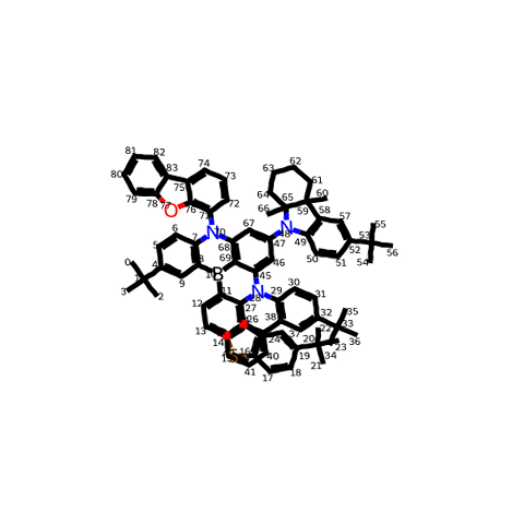 CC(C)(C)c1ccc2c(c1)B1c3ccc4sc5ccc(C(C)(C)C)cc5c4c3N(c3ccc(C(C)(C)C)cc3-c3ccccc3)c3cc(N4c5ccc(C(C)(C)C)cc5C5(C)CCCCC45C)cc(c31)N2c1cccc2c1oc1ccccc12